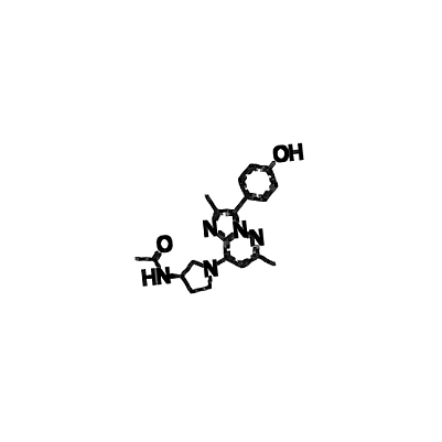 CC(=O)N[C@@H]1CCN(c2cc(C)nn3c(-c4ccc(O)cc4)c(C)nc23)C1